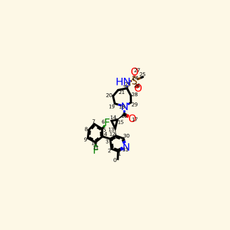 Cc1cc(-c2c(F)cccc2F)c([C@@H]2C[C@H]2C(=O)N2CCC[C@@H](NS(C)(=O)=O)CC2)cn1